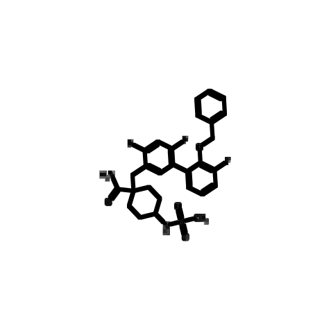 CS(=O)(=O)NC1CCC(Cc2cc(-c3cccc(F)c3OCc3ccccc3)c(F)cc2F)(C(N)=O)CC1